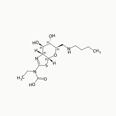 CCCCNC[C@H]1O[C@@H]2SC(N(CC)C(=O)O)=N[C@@H]2[C@@H](O)[C@@H]1O